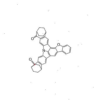 O=C1c2cc3c(cc2C2CCC1CC2)c1cc2c4ccccc4oc2c2c4cc5c(cc4n3c12)C(=O)C1CCC5CC1